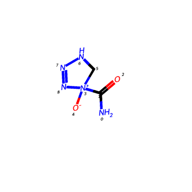 NC(=O)[N+]1([O-])CNN=N1